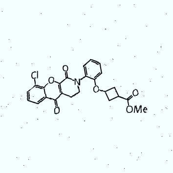 COC(=O)C1CC(Oc2ccccc2N2CCc3c(oc4c(Cl)cccc4c3=O)C2=O)C1